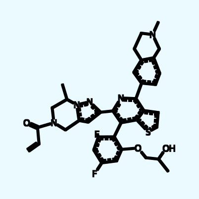 C=CC(=O)N1Cc2cc(-c3nc(-c4ccc5c(c4)CCN(C)C5)c4ccsc4c3-c3c(F)cc(F)cc3OCC(C)O)nn2C(C)C1